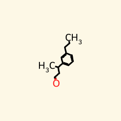 CCCc1cccc(C(C)CC=O)c1